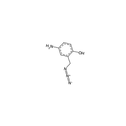 [N-]=[N+]=NCc1cc(N)ccc1O